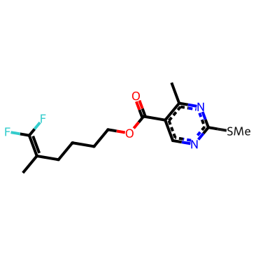 CSc1ncc(C(=O)OCCCCC(C)=C(F)F)c(C)n1